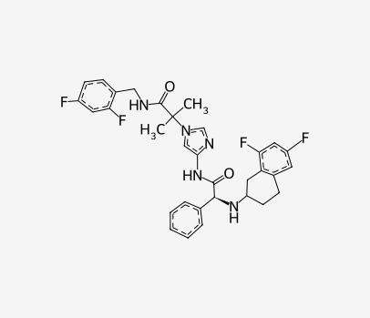 CC(C)(C(=O)NCc1ccc(F)cc1F)n1cnc(NC(=O)[C@@H](NC2CCc3cc(F)cc(F)c3C2)c2ccccc2)c1